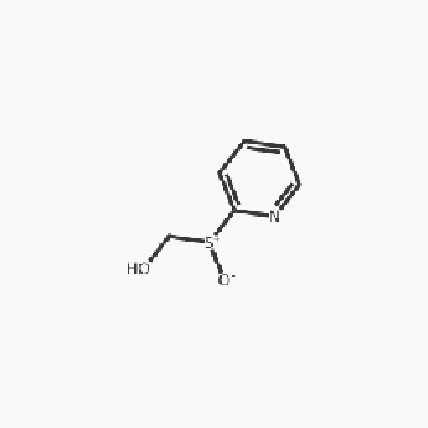 [O-][S+](CO)c1ccccn1